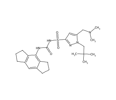 CN(C)Cc1cc(S(=O)(=O)NC(=O)Nc2c3c(cc4c2CCC4)CCC3)nn1CC(C)(C)C